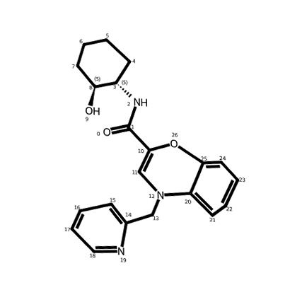 O=C(N[C@H]1CCCC[C@@H]1O)C1=CN(Cc2ccccn2)c2ccccc2O1